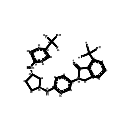 O=C1c2c(cccc2C(F)(F)F)CN1c1ccc(N[C@H]2CC[C@H](Nc3ncc(C(F)(F)F)nn3)C2)nc1